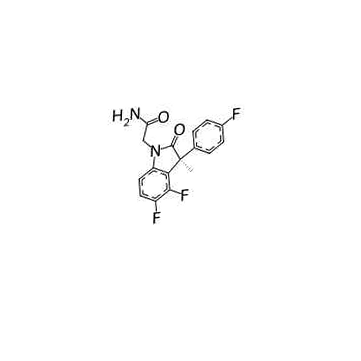 C[C@@]1(c2ccc(F)cc2)C(=O)N(CC(N)=O)c2ccc(F)c(F)c21